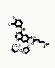 CN(C)C/C=C/C(=O)Nc1cc2c(Nc3ccc(F)c(Cl)c3)ncnc2cc1O[C@H]1CCOC1.O=C(O)/C=C\C(=O)O